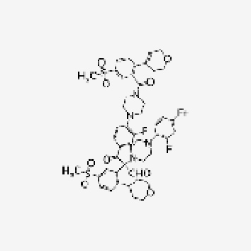 CCc1ccc(N2CCN(C(C=O)(C(=O)c3ccc(N4CCN(C(=O)c5cc(S(C)(=O)=O)ccc5C5=CCOCC5)CC4)c(F)c3)c3cc(S(C)(=O)=O)ccc3C3CCOCC3)CC2)c(F)c1